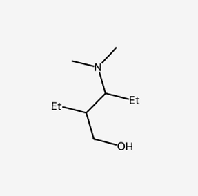 [CH2]CC(CO)C(C[CH2])N(C)C